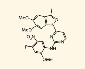 COc1cc(F)c([N+](=O)[O-])cc1Nc1nccc(-n2nc(C)c3cc(OC)c(OC)cc32)n1